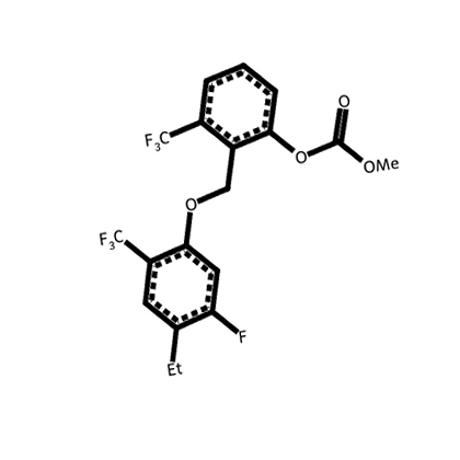 CCc1cc(C(F)(F)F)c(OCc2c(OC(=O)OC)cccc2C(F)(F)F)cc1F